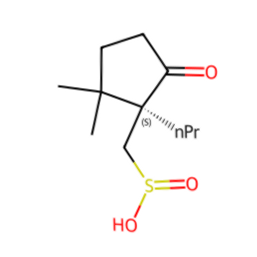 CCC[C@@]1(CS(=O)O)C(=O)CCC1(C)C